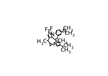 CC(C)c1cnn(C2CC2C(C)c2cn(C(F)F)nc2CC(C)c2cccc(N(C)C)c2)c1